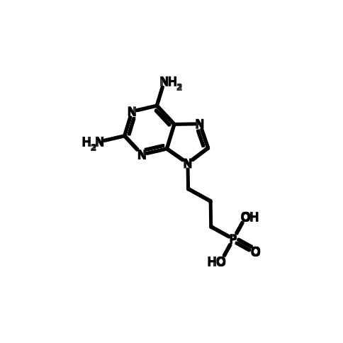 Nc1nc(N)c2ncn(CCCP(=O)(O)O)c2n1